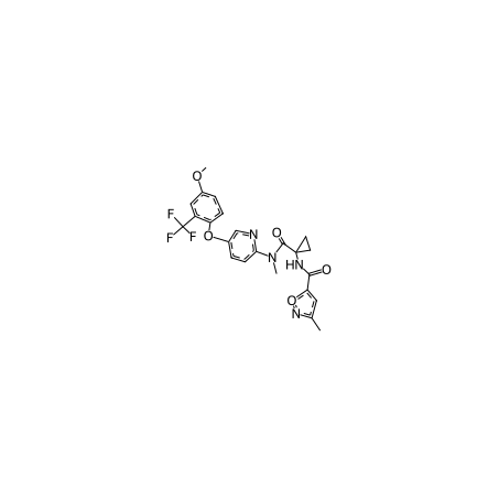 COc1ccc(Oc2ccc(N(C)C(=O)C3(NC(=O)c4cc(C)no4)CC3)nc2)c(C(F)(F)F)c1